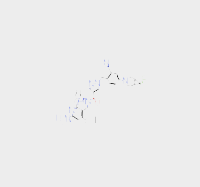 Cc1cc(N)nc(C)c1CNC(=O)c1cnn(Cc2ccc(N3CC4C(C3)C4(F)F)cc2C#N)c1